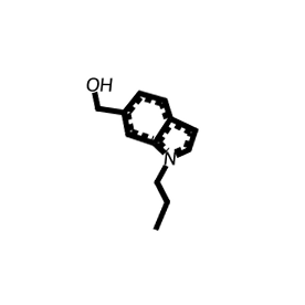 CCCn1ccc2ccc(CO)cc21